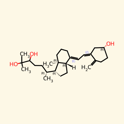 C=C1CC[C@@H](O)C/C1=C/C=C1\CCC[C@]2(C)[C@@H]([C@H](C)CCC(O)C(C)(C)O)CC[C@@H]12